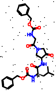 CC(C)C[C@H](NC(=O)OCc1ccccc1)C(=O)NC1CN(C(=O)CNC(=O)OCc2ccccc2)CC1=O